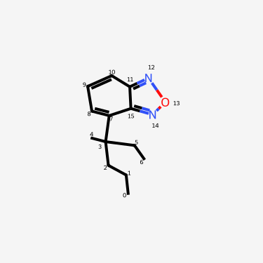 CCCC(C)(CC)c1cccc2nonc12